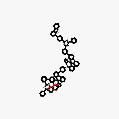 c1ccc(-c2nc(-c3ccc(-c4cccc5c4oc4ccccc45)cc3)nc(-c3cccc(-c4ccc5c(c4)C4(c6ccccc6-5)c5ccccc5N(c5ccc(-c6cccc7c6-c6ccccc6C76c7ccccc7N(c7ccccc7)c7cc(-c8ccccc8-c8nc(-c9ccccc9)nc(-c9ccccn9)n8)ccc76)cc5)c5ccccc54)c3)n2)cc1